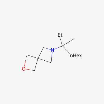 CCCCCCC(C)(CC)N1CC2(COC2)C1